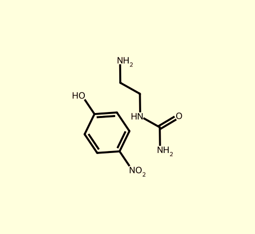 NCCNC(N)=O.O=[N+]([O-])c1ccc(O)cc1